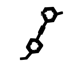 CCc1ccc(C#Cc2cc(C)ccn2)cc1